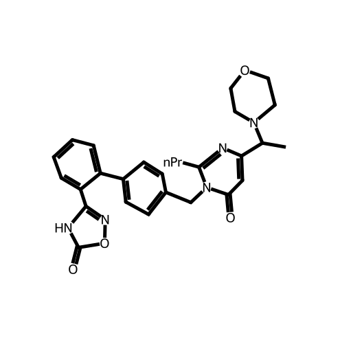 CCCc1nc(C(C)N2CCOCC2)cc(=O)n1Cc1ccc(-c2ccccc2-c2noc(=O)[nH]2)cc1